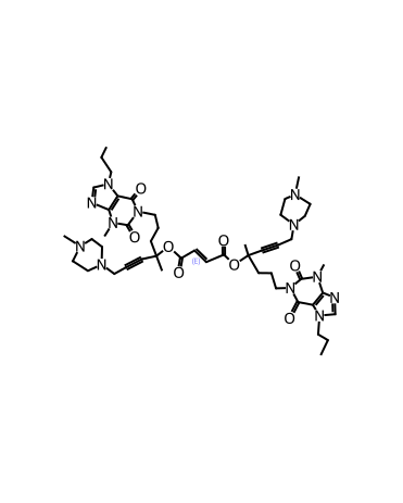 CCCn1cnc2c1c(=O)n(CCCC(C)(C#CCN1CCN(C)CC1)OC(=O)/C=C/C(=O)OC(C)(C#CCN1CCN(C)CC1)CCCn1c(=O)c3c(ncn3CCC)n(C)c1=O)c(=O)n2C